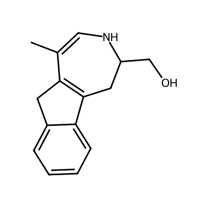 CC1=CNC(CO)CC2=C1Cc1ccccc12